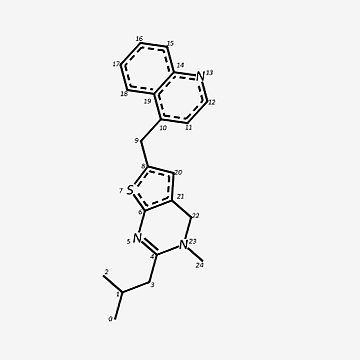 CC(C)CC1=Nc2sc(Cc3ccnc4ccccc34)cc2CN1C